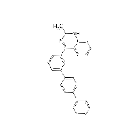 CC1N=C(c2cccc(-c3ccc(-c4ccccc4)cc3)c2)c2ccccc2N1